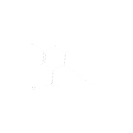 COC(=O)c1cc(Br)ccc1[Si]#[Si][SiH3]